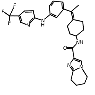 CC(=C1CCC(NC(=O)c2cn3c(n2)CCCC3)CC1)c1cccc(Nc2ccc(C(F)(F)F)cn2)c1